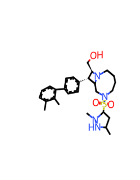 Cc1cccc(-c2ccc([C@H]3C4CN(S(=O)(=O)C5CC(C)NN5C)CCCCN4[C@@H]3CO)cc2)c1C